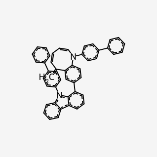 C=C1/C=C\C=C/N(c2ccc(-c3ccccc3)cc2)c2ccc(-c3cccc4c5ccccc5n(-c5ccc(-c6ccccc6)cc5)c34)cc21